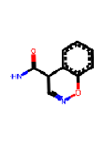 [NH]C(=O)C1C=NOc2ccccc21